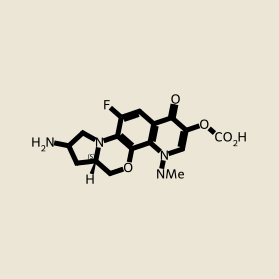 CNn1cc(OC(=O)O)c(=O)c2cc(F)c3c(c21)OC[C@@H]1CC(N)CN31